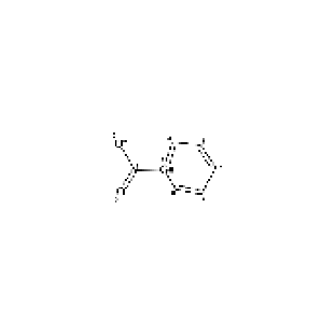 O=[C]([O-])[Ge]1=[CH]C=CC=[CH]1